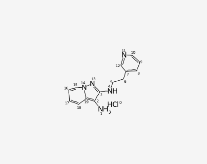 Cl.Nc1c(NCCc2cccnc2)nn2ccccc12